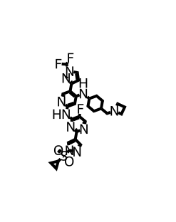 O=S(=O)(C1CC1)n1cc(-c2ncc(F)c(Nc3cc(NC4CCC(CN5CCC5)CC4)c(-c4ccn(C(F)F)n4)cn3)n2)cn1